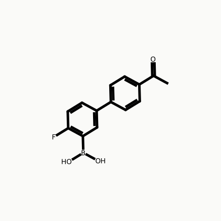 CC(=O)c1ccc(-c2ccc(F)c(B(O)O)c2)cc1